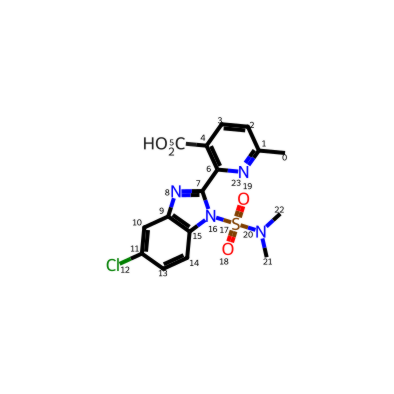 Cc1ccc(C(=O)O)c(-c2nc3cc(Cl)ccc3n2S(=O)(=O)N(C)C)n1